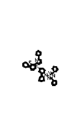 c1ccc(-c2ccc3c(n2)c2c4sc5ccccc5c4ccc2n3-c2ccc3c(c2)c2ccccc2n3-c2nc(-c3ccccc3)nc(-c3ccccc3)n2)cc1